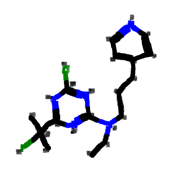 CCN(CCCc1ccncc1)c1nc(Cl)nc(C(C)(C)F)n1